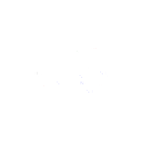 C=CC(=O)N1CCC(C2CCNc3c(C(N)=O)c(-c4ccc(O)c(Cl)c4)nn32)CC1